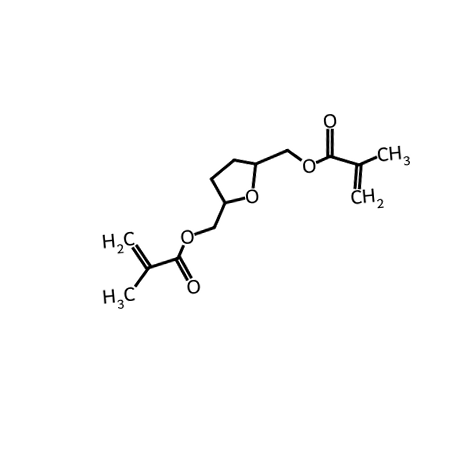 C=C(C)C(=O)OCC1CCC(COC(=O)C(=C)C)O1